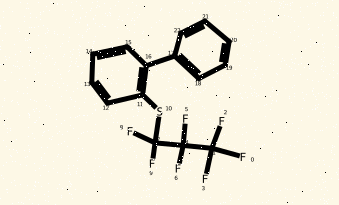 FC(F)(F)C(F)(F)C(F)(F)Sc1ccc[c]c1-c1ccccc1